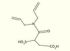 C=CCN(CC=C)C(=O)C(CC(=O)O)S(=O)(=O)O